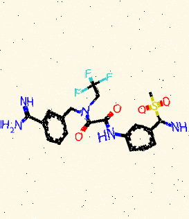 CS(=O)(=O)C(N)c1cccc(NC(=O)C(=O)N(Cc2cccc(C(=N)N)c2)CC(F)(F)F)c1